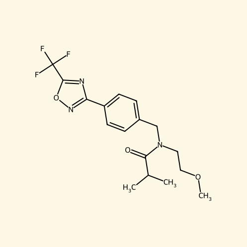 COCCN(Cc1ccc(-c2noc(C(F)(F)F)n2)cc1)C(=O)C(C)C